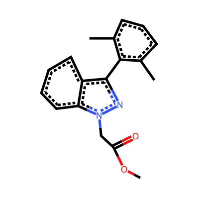 COC(=O)Cn1nc(-c2c(C)cccc2C)c2ccccc21